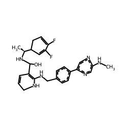 CNc1cnc(-c2ccc(CNC3=C(C(O)N[C@@H](C)C4C=C(F)C(F)=CC4)C=CCN3)cc2)cn1